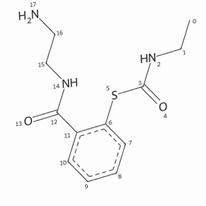 CCNC(=O)Sc1ccccc1C(=O)NCCN